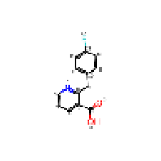 O=C(O)c1cccnc1Cc1ccc(F)cc1